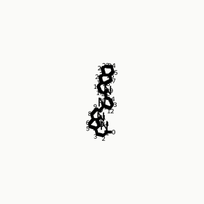 Cc1ccc2ccc3ccc(-c4cccc(-c5ccc6cc7ccccc7cc6n5)n4)nc3c2n1